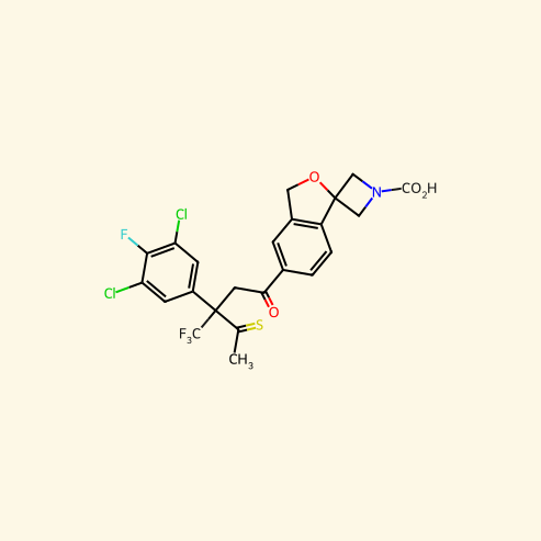 CC(=S)C(CC(=O)c1ccc2c(c1)COC21CN(C(=O)O)C1)(c1cc(Cl)c(F)c(Cl)c1)C(F)(F)F